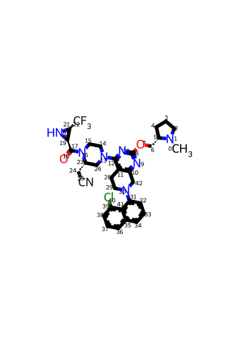 CN1CCC[C@H]1COc1nc2c(c(N3CCN(C(=O)[C@H]4N[C@H]4C(F)(F)F)[C@@H](CC#N)C3)n1)CCN(c1cccc3cccc(Cl)c13)C2